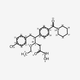 CCO[C@H](CC(=O)NO)C(Cc1ccc(Cl)cc1)c1ccc(C(=O)N2CCCCC2)cc1